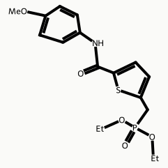 CCOP(=O)(Cc1ccc(C(=O)Nc2ccc(OC)cc2)s1)OCC